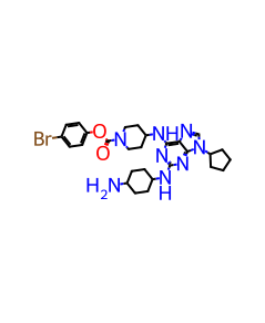 NC1CCC(Nc2nc(NC3CCN(C(=O)Oc4ccc(Br)cc4)CC3)c3ncn(C4CCCC4)c3n2)CC1